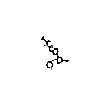 CN1CCC[C@@H](Oc2cnc(C#N)cc2-c2ccn3nc(NC(=O)C4CC4)cc3c2)C1